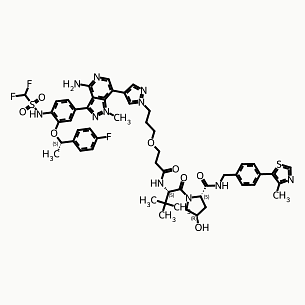 Cc1ncsc1-c1ccc(CNC(=O)[C@@H]2C[C@@H](O)CN2C(=O)[C@@H](NC(=O)CCOCCCn2cc(-c3cnc(N)c4c(-c5ccc(NS(=O)(=O)C(F)F)c(O[C@@H](C)c6ccc(F)cc6)c5)nn(C)c34)cn2)C(C)(C)C)cc1